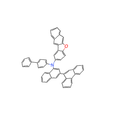 c1ccc(-c2ccc(N(c3ccc4oc5cc6ccccc6cc5c4c3)c3cc(-c4cc5ccccc5c5ccccc45)cc4ccccc34)cc2)cc1